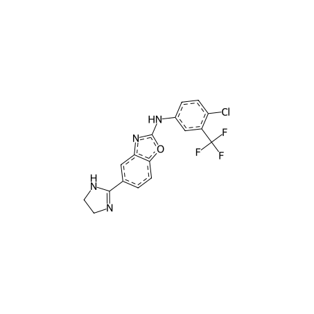 FC(F)(F)c1cc(Nc2nc3cc(C4=NCCN4)ccc3o2)ccc1Cl